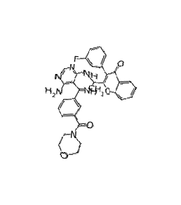 CC(Nc1ncnc(N)c1C(=N)c1cccc(C(=O)N2CCOCC2)c1)c1oc2ccccc2c(=O)c1-c1cccc(F)c1